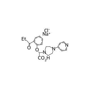 CCC(=O)c1ccccc1OC(C(=O)O)N1CCN(c2ccncc2)CC1.[Cl-].[Na+]